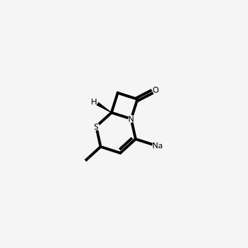 CC1C=[C]([Na])N2C(=O)C[C@H]2S1